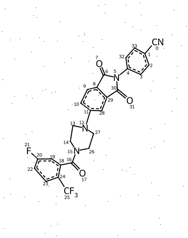 N#Cc1ccc(N2C(=O)c3ccc(N4CCN(C(=O)c5cc(F)ccc5C(F)(F)F)CC4)cc3C2=O)cc1